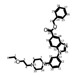 CCOCCN1CCN(c2cccc(-n3cnc4cc(C(=O)OCc5ccccc5)ccc43)c2)CC1